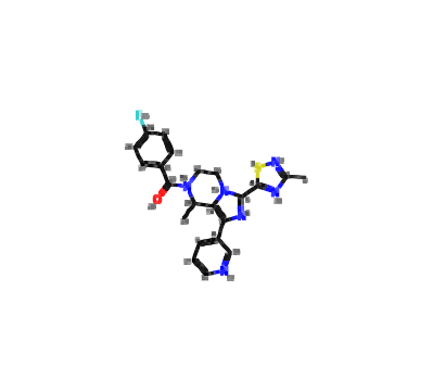 Cc1nsc(-c2nc(-c3cccnc3)c3n2CCN(C(=O)c2ccc(F)cc2)C3C)n1